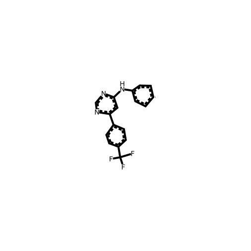 FC(F)(F)c1ccc(-c2cc(Nc3cc[c]cc3)ncn2)cc1